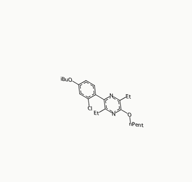 CCCCCOc1nc(CC)c(-c2ccc(OCC(C)C)cc2Cl)nc1CC